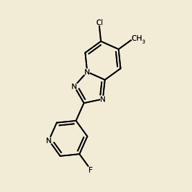 Cc1cc2nc(-c3cncc(F)c3)nn2cc1Cl